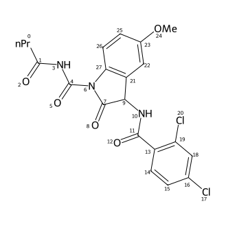 CCCC(=O)NC(=O)N1C(=O)C(NC(=O)c2ccc(Cl)cc2Cl)c2cc(OC)ccc21